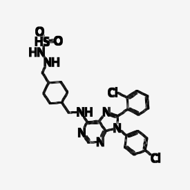 O=[SH](=O)NNCC1CCC(CNc2ncnc3c2nc(-c2ccccc2Cl)n3-c2ccc(Cl)cc2)CC1